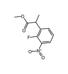 COC(=O)C(C)c1cccc([N+](=O)[O-])c1F